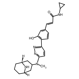 CN(c1ccc(-c2ccc(/C=C/C(=O)NC3CC3)cc2O)nn1)C1C[C@H]2CCC[C@@H](C1)N2